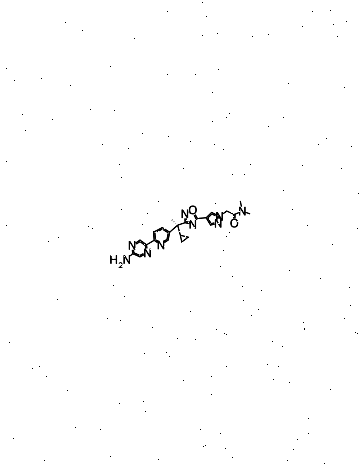 CN(C)C(=O)Cn1cc(-c2nc([C@](C)(c3ccc(-c4cnc(N)cn4)nc3)C3CC3)no2)cn1